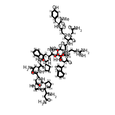 CCCC[C@@H](C(=O)N(C)[C@@H](CCCC)C(=O)N[C@@H](CCCNC(=N)N)C(=O)NC(CSCC(=O)N[C@@H](Cc1ccc(O)cc1)C(=O)NC)C(=O)NCC(N)=O)N(C)C(=O)[C@H](Cc1csc2ccccc12)NC(=O)[C@H](CO)NC(=O)[C@H](Cc1c[nH]c2ccccc12)NC(=O)[C@@H]1CCCN1C(=O)[C@H](CC(N)=O)NC(=O)[C@H](Cc1cnc[nH]1)NC(=O)[C@@H]1CCCN1C(=O)[C@@H](N)CC(N)=O